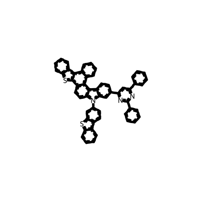 c1ccc(-c2cc(-c3ccc4c5c6c7ccccc7c7c8ccccc8sc7c6ccc5n(-c5ccc6c(c5)sc5ccccc56)c4c3)nc(-c3ccccc3)n2)cc1